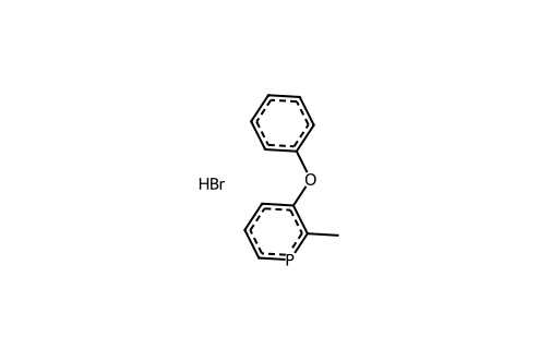 Br.Cc1pcccc1Oc1ccccc1